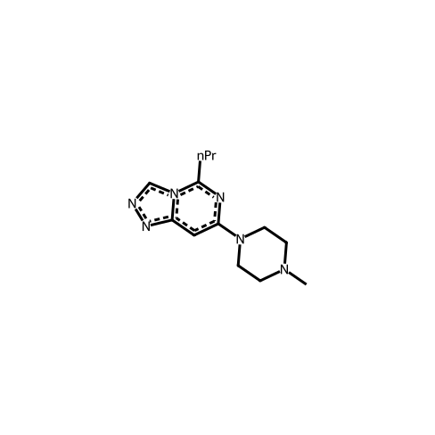 CCCc1nc(N2CCN(C)CC2)cc2nncn12